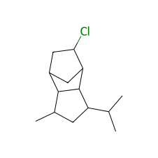 CC(C)C1CC(C)C2C3CC(Cl)C(C3)C12